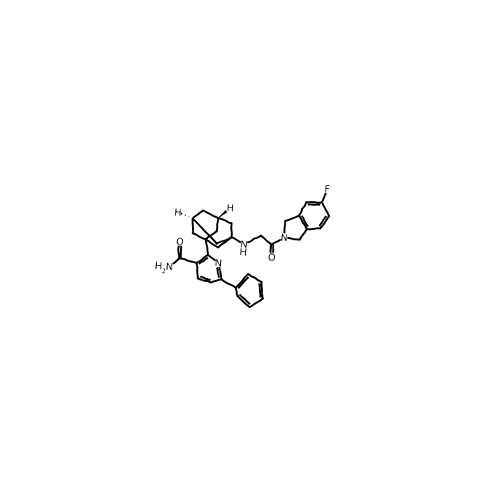 NC(=O)c1ccc(-c2ccccc2)nc1C12C[C@@H]3C[C@@H](CC(NCC(=O)N4Cc5ccc(F)cc5C4)(C3)C1)C2